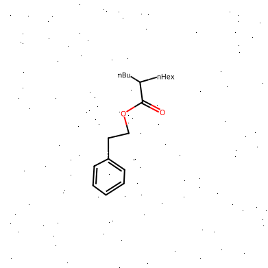 CCCCCCC(CCCC)C(=O)OCCc1ccccc1